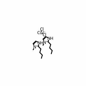 CCCCc1[nH]cc[n+]1C.CCCCc1[nH]cc[n+]1C.[Cl][Cu-2][Cl]